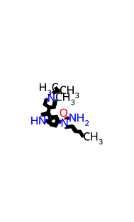 CCCC=CCN(C(N)=O)c1ccc2[nH]cc(C3C=CN(CC(C)(C)C)CC3)c2c1